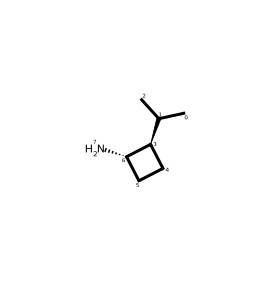 CC(C)[C@H]1CC[C@@H]1N